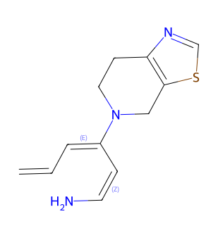 C=C/C=C(\C=C/N)N1CCc2ncsc2C1